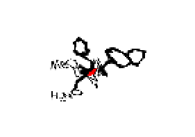 COC1(c2ccccc2)N2C(=O)[N+](C)(N1CON)C2(C)c1ccc2c(c1)CCCC2